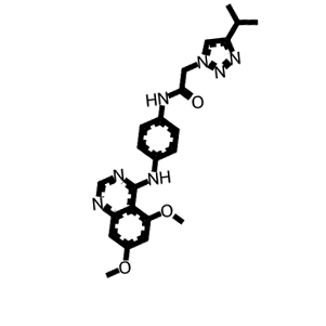 COc1cc(OC)c2c(Nc3ccc(NC(=O)Cn4cc(C(C)C)nn4)cc3)ncnc2c1